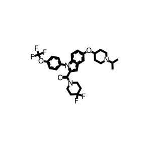 CC(C)N1CCC(Oc2ccc3c(c2)cc(C(=O)N2CCC(F)(F)CC2)n3-c2ccc(OC(F)(F)F)cc2)CC1